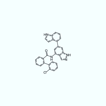 O=C(Nc1cc(-c2cccc3[nH]ccc23)cc2[nH]ncc12)c1ccccc1-c1ccccc1Cl